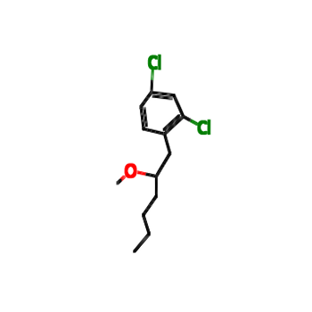 CCCCC(Cc1ccc(Cl)cc1Cl)OC